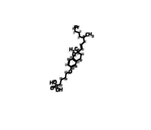 CC(C)CCCC(C)C/C=C/C1(C)CCc2cc(OCCCCP(=O)(O)O)ccc2O1